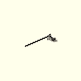 CCCCCCCCCCCCCCCCCCCC[N+](C)(CC)CC(O)CS(=O)(=O)O